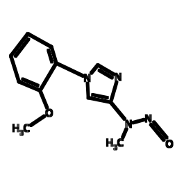 COc1ccccc1-n1cnc(N(C)N=O)c1